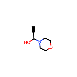 C#CC(O)N1CCOCC1